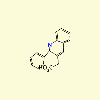 O=C(O)Cc1cc2ccccc2nc1-c1ccccc1